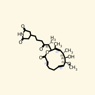 CO[C@H]1/C=C/CC/C=C/C(=O)OC([C@@H](C)C(=O)CCCC2CC(=O)NC(=O)C2)/C(C)=C\[C@H](C)[C@H]1O